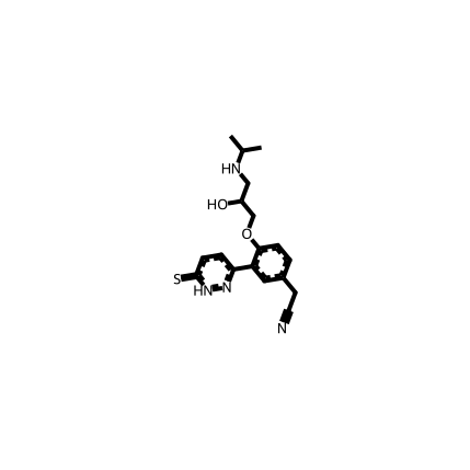 CC(C)NCC(O)COc1ccc(CC#N)cc1-c1ccc(=S)[nH]n1